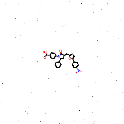 O=C(O)c1ccc(N2C(=O)C(=Cc3ccc(-c4ccc([N+](=O)[O-])cc4)o3)C=C2c2ccccc2)cc1